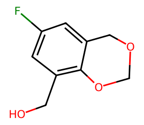 OCc1cc(F)cc2c1OCOC2